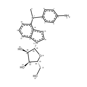 CN(c1ccc(N)cc1)c1ncnc2c1ncn2[C@@H]1O[C@H](CO)[C@@H](O)[C@H]1O